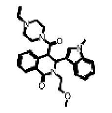 CCN1CCN(C(=O)C2c3ccccc3C(=O)N(CCOC)C2c2cn(C)c3ccccc23)CC1